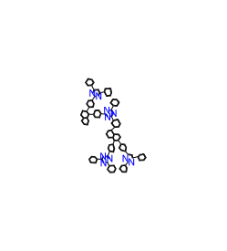 c1ccc(-c2cc(-c3ccc(-c4ccc5c(-c6cccc(-c7nc(-c8ccccc8)nc(-c8ccc(-c9c(-c%10ccc(-c%11nc(-c%12ccccc%12)cc(-c%12ccccc%12)n%11)cc%10)ccc%10ccccc9%10)cc8)n7)c6)cccc5c4-c4ccc(-c5nc(-c6ccccc6)nc(-c6ccccc6)n5)cc4)cc3)nc(-c3ccccc3)n2)cc1